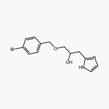 OC(COCc1ccc(Br)cc1)Cc1ncc[nH]1